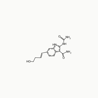 NC(=O)Nc1[nH]c2cc(/C=C/CCO)ccc2c1C(N)=O